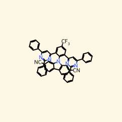 N#Cc1ccc2c3ccc(C#N)cc3n(-c3c(-c4cc(-c5ccccc5)nc(-c5ccccc5)n4)cc(C(F)(F)F)cc3-c3cc(-c4ccccc4)nc(-c4ccccc4)n3)c2c1